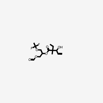 C=CC(O)C(C)(CC)C(=O)OC(COC=O)COC(C)(F)F